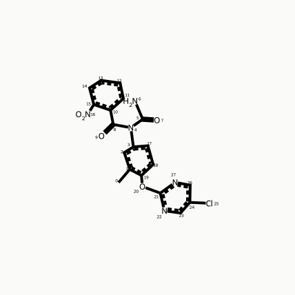 Cc1cc(N(C(N)=O)C(=O)c2ccccc2[N+](=O)[O-])ccc1Oc1ncc(Cl)cn1